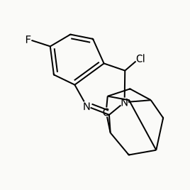 Fc1ccc2c(c1)N=C1C3CC4CC(C3)CC(C4)N1C2Cl